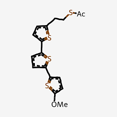 COc1ccc(-c2ccc(-c3ccc(CCSC(C)=O)s3)s2)s1